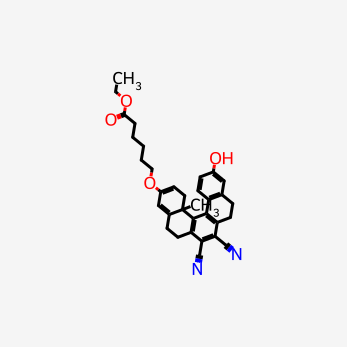 CCOC(=O)CCCCCOC1=CCC2(C)C(=C1)CCc1c(C#N)c(C#N)c3c(c12)-c1ccc(O)cc1CC3